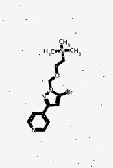 C[Si](C)(C)CCOCn1nc(-c2ccncc2)cc1Br